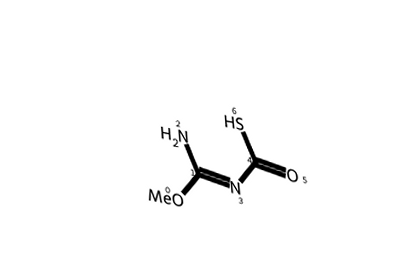 CO/C(N)=N/C(=O)S